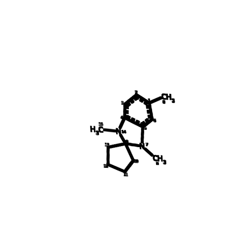 Cc1ccc2c(c1)N(C)C1(CCCC1)N2C